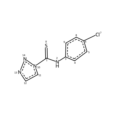 S=C(Nc1ccc(Cl)cc1)n1ccnn1